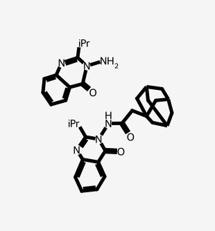 CC(C)c1nc2ccccc2c(=O)n1N.CC(C)c1nc2ccccc2c(=O)n1NC(=O)CC12CC3CC(CC(C3)C1)C2